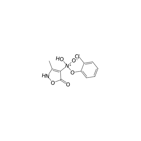 Cc1[nH]oc(=O)c1[N+]([O-])(O)Oc1ccccc1Cl